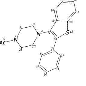 CC(=O)N1CCN(c2c(-c3ccccc3)sc3ccccc23)CC1